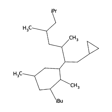 CCC(C)C1CC(C)CC(C(CC2CC2)C(C)CC(C)CC(C)C)C1C